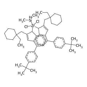 CCC1(CC2=Cc3c(-c4ccc(C(C)(C)C)cc4)cccc3[CH]2[Zr]([Cl])([Cl])([CH]2C(CC3(CC)CCCCC3)=Cc3c(-c4ccc(C(C)(C)C)cc4)cccc32)[SiH](C)C)CCCCC1